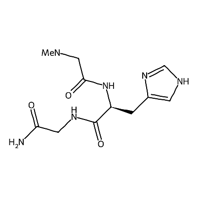 CNCC(=O)N[C@@H](Cc1c[nH]cn1)C(=O)NCC(N)=O